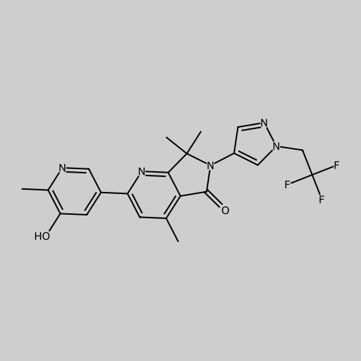 Cc1cc(-c2cnc(C)c(O)c2)nc2c1C(=O)N(c1cnn(CC(F)(F)F)c1)C2(C)C